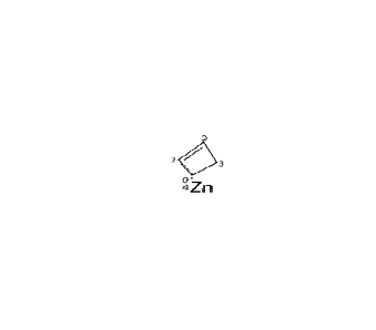 [CH]1C=CC1.[Zn]